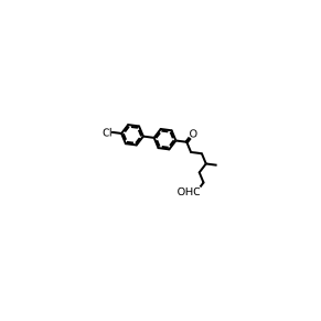 CC(CCC=O)CCC(=O)c1ccc(-c2ccc(Cl)cc2)cc1